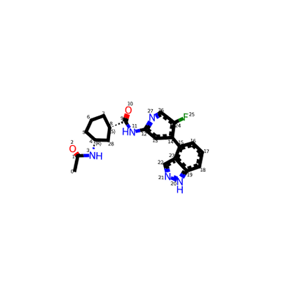 CC(=O)N[C@@H]1CCC[C@H](C(=O)Nc2cc(-c3cccc4[nH]ncc34)c(F)cn2)C1